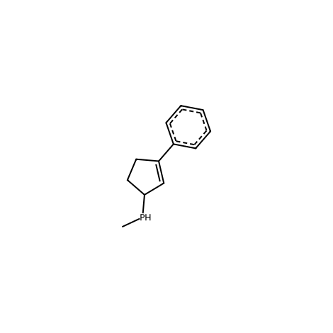 CPC1C=C(c2ccccc2)CC1